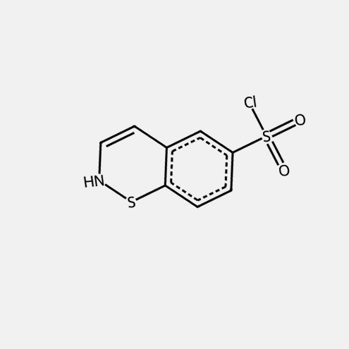 O=S(=O)(Cl)c1ccc2c(c1)C=CNS2